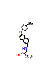 CC(C)(C)[C@H]1CC[C@H](Oc2ccc3cc(CNCC(CO)C(=O)O)ccc3c2)CC1